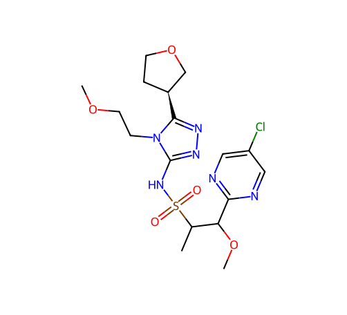 COCCn1c(NS(=O)(=O)C(C)C(OC)c2ncc(Cl)cn2)nnc1[C@H]1CCOC1